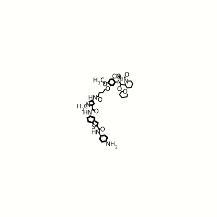 COc1cc(C)c(N(C=O)C(OC2CCCCO2)C2CCCCN2C=O)cc1OCCCC(=O)Nc1cc(C(=O)Nc2ccc3sc(C(=O)Nc4ccc(N)cc4)cc3c2)n(C)c1